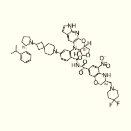 CC(C)c1ccccc1[C@@H]1CCCN1C1CC2(CCN(c3ccc(C(=O)NS(=O)(=O)c4cc5c(c([N+](=O)[O-])c4)N[C@@H](CN4CCC(F)(F)CC4)CO5)c(N4c5cc6cc[nH]c6nc5O[C@@H]5COC[C@H]54)c3)CC2)C1